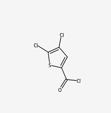 O=C(Cl)c1cc(Cl)c(Cl)s1